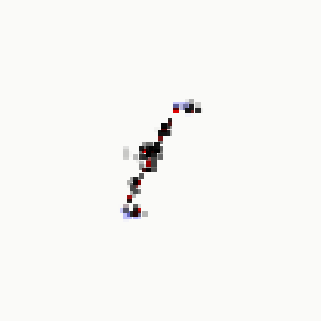 CC/C=C\C/C=C\C/C=C\CCCCCCCCOC(=O)CCCCCCCOC(=O)CCN(CCC(=O)OCCCCCCCC(=O)OCCCCCCCC/C=C\C/C=C\C/C=C\CC)CCN(C)C